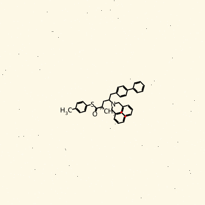 Cc1ccc(SC(=O)[C@H](C)CC(Cc2ccc(-c3ccccc3)cc2)N(Cc2ccccc2)Cc2ccccc2)cc1